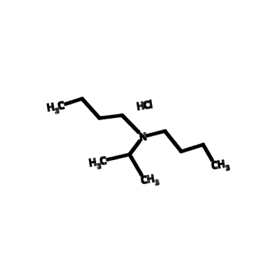 CCCCN(CCCC)C(C)C.Cl